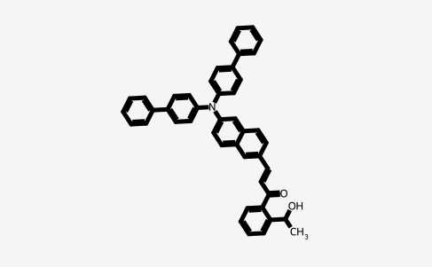 CC(O)c1ccccc1C(=O)C=Cc1ccc2cc(N(c3ccc(-c4ccccc4)cc3)c3ccc(-c4ccccc4)cc3)ccc2c1